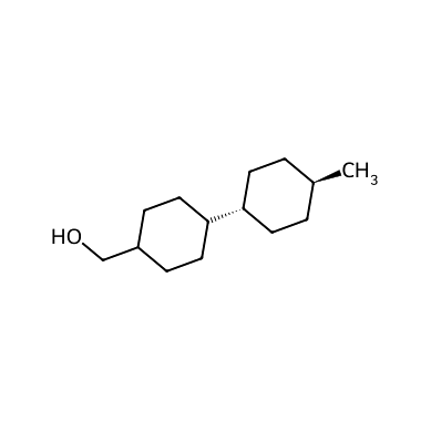 C[C@H]1CC[C@H](C2CCC(CO)CC2)CC1